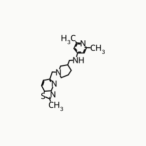 CC1=NC2N=C(CN3CCCC(CNc4cc(C)nc(C)c4)C3)C=CC2S1